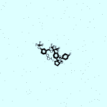 COc1ccc(OC(F)(F)F)cc1COC(c1ccc(C2(S(=O)(=O)c3ccc(F)cc3)CCCC2)cc1)(C(F)(F)F)C(F)(F)F